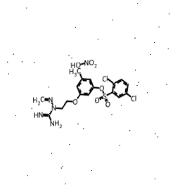 C=NN(CCOc1cc(C)cc(OS(=O)(=O)c2cc(Cl)ccc2Cl)c1)C(=N)N.O=[N+]([O-])O